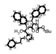 CC(c1nnnn1CCc1ccccc1)N(C(=O)[C@@H](Cc1ccc2ccccc2c1)NC(=O)OC(C)(C)C)c1ccc2ccccc2c1